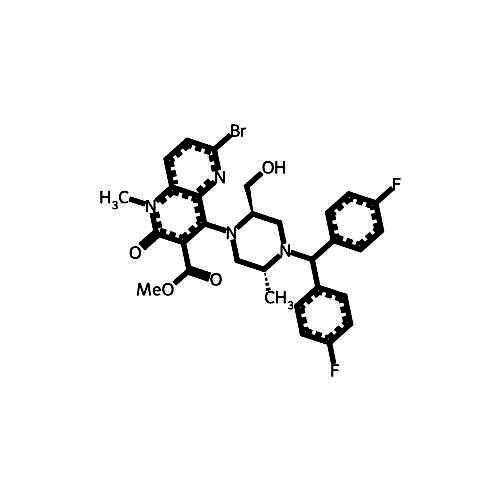 COC(=O)c1c(N2C[C@@H](C)N(C(c3ccc(F)cc3)c3ccc(F)cc3)C[C@@H]2CO)c2nc(Br)ccc2n(C)c1=O